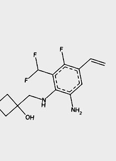 C=Cc1cc(N)c(NCC2(O)CCC2)c(C(F)F)c1F